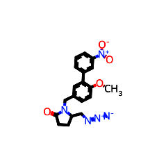 COc1ccc(CN2C(=O)CCC2CN=[N+]=[N-])cc1-c1cccc([N+](=O)[O-])c1